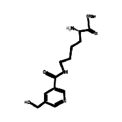 COC(=O)[C@@H](N)CCCCNC(=O)c1cncc(CO)c1